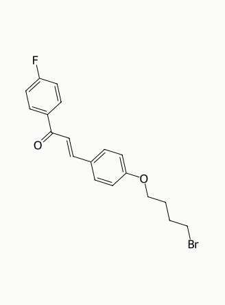 O=C(C=Cc1ccc(OCCCCBr)cc1)c1ccc(F)cc1